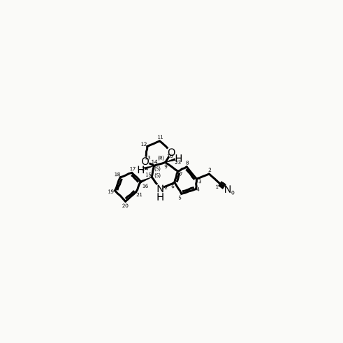 N#CCc1ccc2c(c1)[C@H]1OCCO[C@H]1[C@H](c1ccccc1)N2